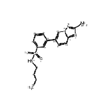 CCCCNS(=O)(=O)c1cccc(-c2ccc3nc(N)nn3c2)c1